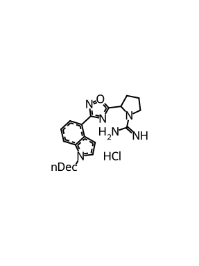 CCCCCCCCCCn1ccc2c(-c3noc(C4CCCN4C(=N)N)n3)cccc21.Cl